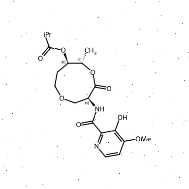 COc1ccnc(C(=O)N[C@H]2COCC[C@@H](OC(=O)C(C)C)[C@H](C)OC2=O)c1O